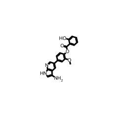 COc1cc(-c2cnc3[nH]cc(N)c3c2)ccc1OC(=O)c1ccccc1O